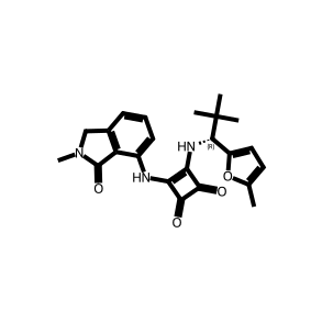 Cc1ccc([C@H](Nc2c(Nc3cccc4c3C(=O)N(C)C4)c(=O)c2=O)C(C)(C)C)o1